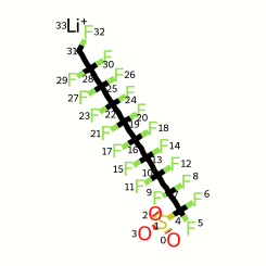 O=S(=O)([O-])C(F)(F)C(F)(F)C(F)(F)C(F)(F)C(F)(F)C(F)(F)C(F)(F)C(F)(F)C(F)(F)CF.[Li+]